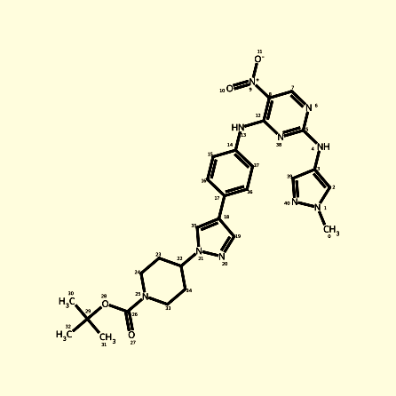 Cn1cc(Nc2ncc([N+](=O)[O-])c(Nc3ccc(-c4cnn(C5CCN(C(=O)OC(C)(C)C)CC5)c4)cc3)n2)cn1